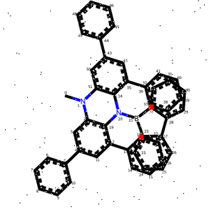 CN1c2cc(-c3ccccc3)cc(-c3ccccc3)c2N(B2c3ccccc3-c3ccccc32)c2c(-c3ccccc3)cc(-c3ccccc3)cc21